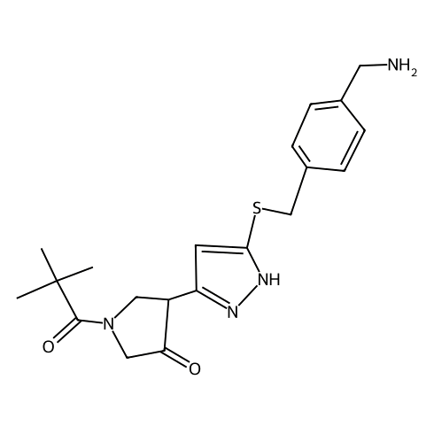 CC(C)(C)C(=O)N1CC(=O)C(c2cc(SCc3ccc(CN)cc3)[nH]n2)C1